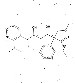 C=C(c1cccnc1C(C)C)C(O)CC(O)C(COC)(C(=O)O)c1cccnc1C(C)C